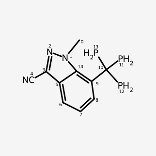 Cn1nc(C#N)c2cccc(C(P)(P)P)c21